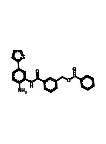 Nc1ccc(-c2cccs2)cc1NC(=O)c1cccc(CO[PH](=O)c2ccccc2)c1